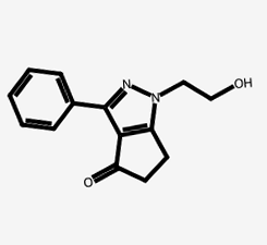 O=C1CCc2c1c(-c1ccccc1)nn2CCO